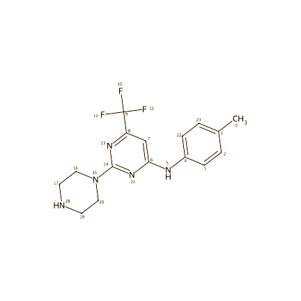 Cc1ccc(Nc2cc(C(F)(F)F)nc(N3CCNCC3)n2)cc1